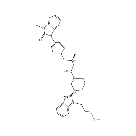 COCCCn1c([C@@H]2CCCN(C(=O)C[C@H](C)Cc3ccc(-n4c(=O)n(C)c5ccccc54)cc3)C2)nc2ccccc21